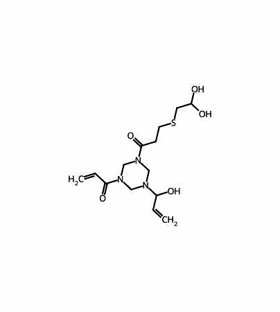 C=CC(=O)N1CN(C(=O)CCSCC(O)O)CN(C(O)C=C)C1